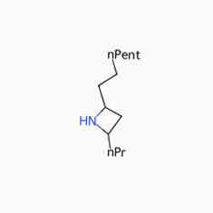 CCCCCCCC1CC(CCC)N1